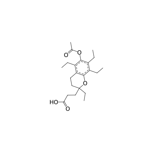 CCc1c(CC)c2c(c(CC)c1OC(C)=O)CCC(CC)(CCC(=O)O)O2